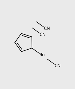 CC#N.CC#N.CC#N.[Ru][CH]1C=CC=C1